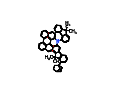 CC1(C)c2ccccc2-c2c(N(c3ccc4c(c3)-c3cccc(C56CCC(CC5)C6)c3C4(C)C)c3ccccc3-c3cccc4cccc(-c5ccccc5)c34)cccc21